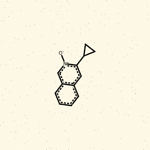 [O-][n+]1cc2ccccc2cc1C1CC1